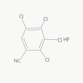 F.N#Cc1cc(Cl)c(Cl)c(Cl)c1Cl